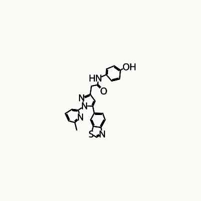 Cc1cccc(-n2nc(CC(=O)Nc3ccc(O)cc3)cc2-c2ccc3ncsc3c2)n1